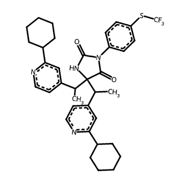 CC(c1ccnc(C2CCCCC2)c1)C1(C(C)c2ccnc(C3CCCCC3)c2)NC(=O)N(c2ccc(SC(F)(F)F)cc2)C1=O